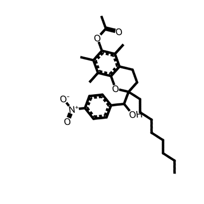 CCCCCCCCC1(C(O)c2ccc([N+](=O)[O-])cc2)CCc2c(C)c(OC(C)=O)c(C)c(C)c2O1